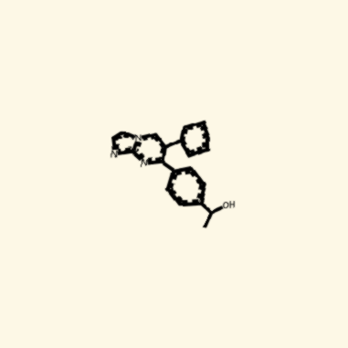 CC(O)c1ccc(-c2nc3nccn3cc2-c2ccccc2)cc1